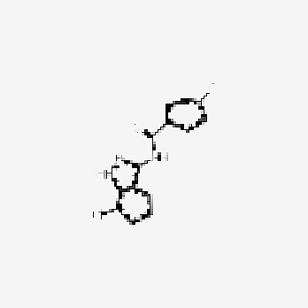 O=C(Nc1n[nH]c2c(Cl)cccc12)c1ccc(F)cc1